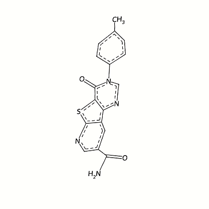 Cc1ccc(-n2cnc3c(sc4ncc(C(N)=O)cc43)c2=O)cc1